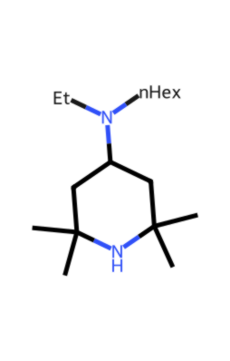 CCCCCCN(CC)C1CC(C)(C)NC(C)(C)C1